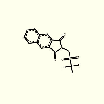 O=C1c2cc3ccccc3cc2C(=O)N1OS(=O)(=O)C(F)(F)F